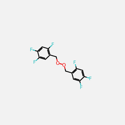 Fc1cc(F)c(COOCc2cc(F)c(F)cc2F)cc1F